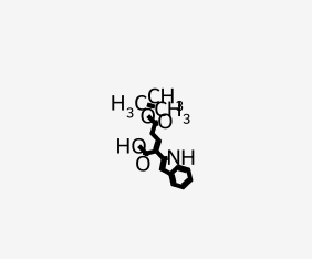 CC(C)(C)OC(=O)CC=C(C(=O)O)c1cc2ccccc2[nH]1